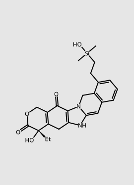 CC[C@@]1(O)C(=O)OCC2=C1CC1=C(C2=O)N2Cc3c(cccc3CC[Si](C)(C)O)C=C2N1